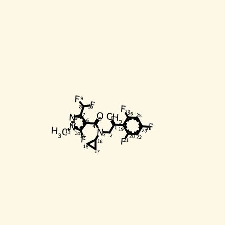 C=C(CN(C(=O)c1c(C(F)F)nn(C)c1F)C1CC1)c1c(F)cc(F)cc1F